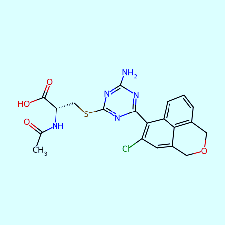 CC(=O)N[C@@H](CSc1nc(N)nc(-c2c(Cl)cc3c4c(cccc24)COC3)n1)C(=O)O